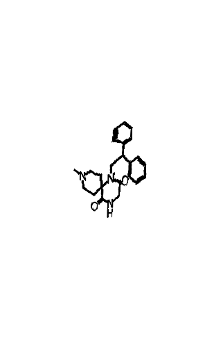 CN1CCC2(CC1)C(=O)NCC(=O)N2CC(c1ccccc1)c1ccccc1